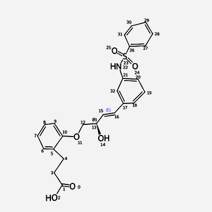 O=C(O)CCc1ccccc1OC[C@H](O)/C=C/c1cccc(NS(=O)(=O)c2ccccc2)c1